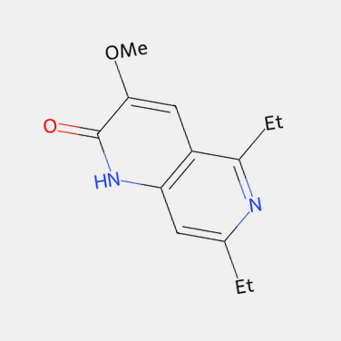 CCc1cc2[nH]c(=O)c(OC)cc2c(CC)n1